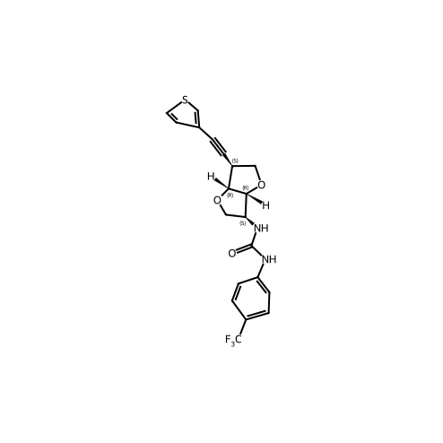 O=C(Nc1ccc(C(F)(F)F)cc1)N[C@H]1CO[C@H]2[C@@H]1OC[C@@H]2C#Cc1ccsc1